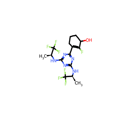 C[C@H](Nc1nc(N[C@@H](C)C(F)(F)F)nc(C2=C(F)C(O)CCC2)n1)C(F)(F)F